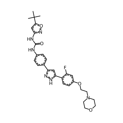 CC(C)(C)c1cc(NC(=O)Nc2ccc(-c3cc(-c4ccc(OCCN5CCOCC5)cc4F)[nH]n3)cc2)no1